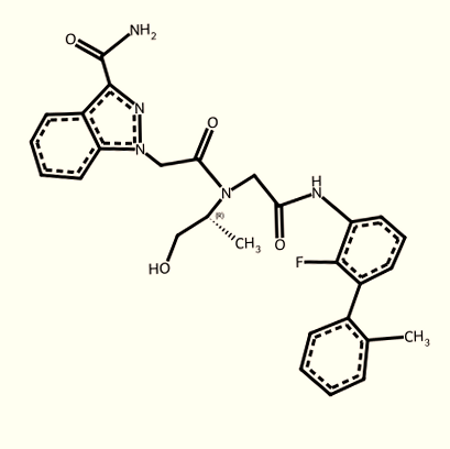 Cc1ccccc1-c1cccc(NC(=O)CN(C(=O)Cn2nc(C(N)=O)c3ccccc32)[C@H](C)CO)c1F